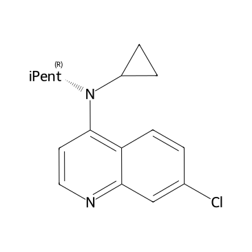 C[CH]C[C@@H](C)N(c1ccnc2cc(Cl)ccc12)C1CC1